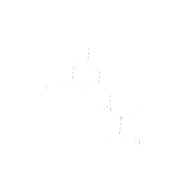 Cc1cc(F)cc(CNC(=O)C(C)C)c1